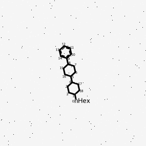 CCCCCCC1CCC(C2CCC(c3ccccc3)CC2)CC1